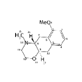 COc1cccc2c1C[C@@H]1[C@@H](C2)OCCN1C